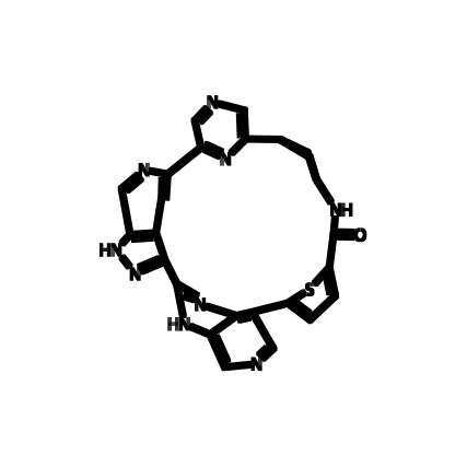 O=C1NC2CC(C2)c2cncc(n2)-c2cc3c(n[nH]c3cn2)-c2nc3c(cncc3[nH]2)-c2ccc1s2